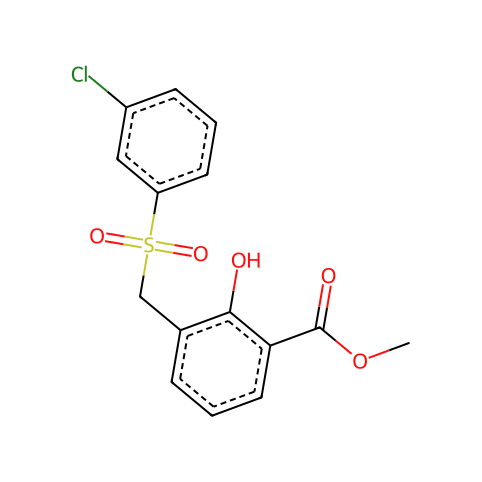 COC(=O)c1cccc(CS(=O)(=O)c2cccc(Cl)c2)c1O